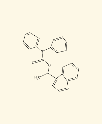 CC(OC(=O)N(c1ccccc1)c1ccccc1)c1cccc2ccccc12